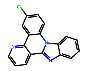 Clc1ccc2c(c1)c1ncccc1c1nc3ccccc3n21